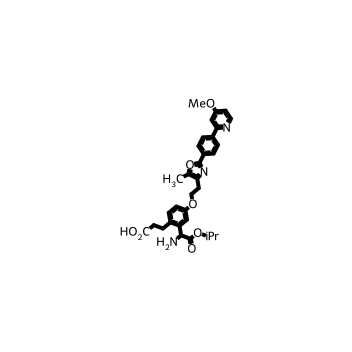 COc1ccnc(-c2ccc(-c3nc(CCOc4ccc(CCC(=O)O)c(C(N)C(=O)OC(C)C)c4)c(C)o3)cc2)c1